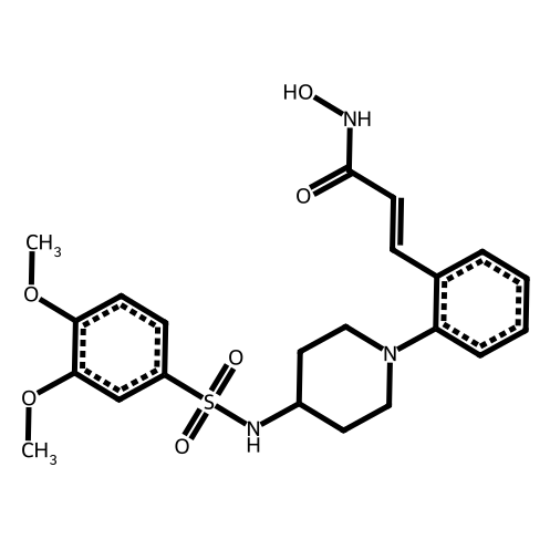 COc1ccc(S(=O)(=O)NC2CCN(c3ccccc3C=CC(=O)NO)CC2)cc1OC